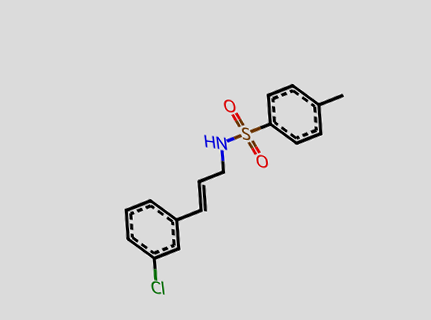 Cc1ccc(S(=O)(=O)NC/C=C/c2cccc(Cl)c2)cc1